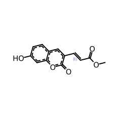 COC(=O)/C=C/c1cc2ccc(O)cc2oc1=O